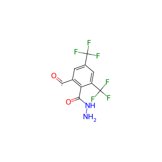 NNC(=O)c1c([C]=O)cc(C(F)(F)F)cc1C(F)(F)F